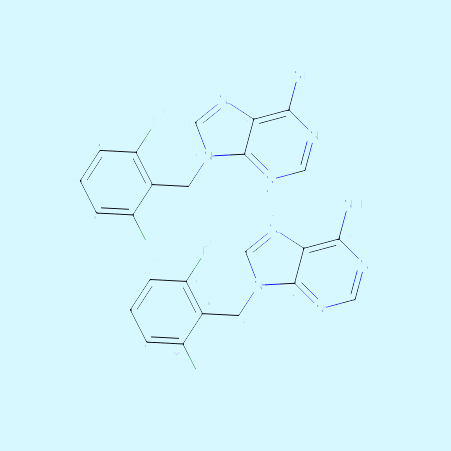 Nc1ncnc2c1ncn2Cc1c(F)cccc1Cl.Nc1ncnc2c1ncn2Cc1c(F)cccc1Cl